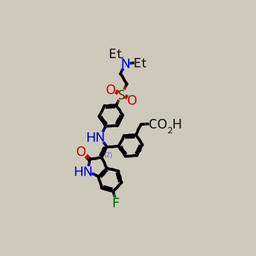 CCN(CC)CCS(=O)(=O)c1ccc(N/C(=C2\C(=O)Nc3cc(F)ccc32)c2cccc(CC(=O)O)c2)cc1